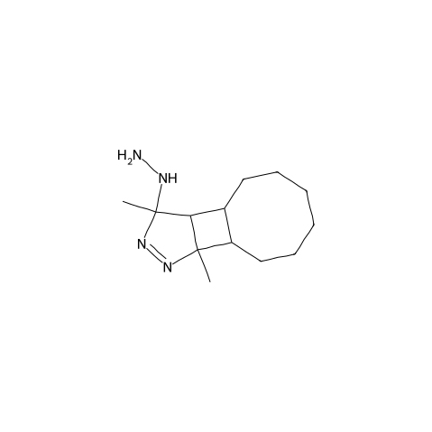 CC1(NN)N=NC2(C)C3CCCCCCC3C12